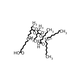 CCCCC(CC)C(=O)[O-].CCCCC(CC)C(=O)[O-].CCCCCCCC(=O)O.CCCCCCCC(=O)O.CCCCCCC[CH2][Sn+2][CH2]CCCCCCC